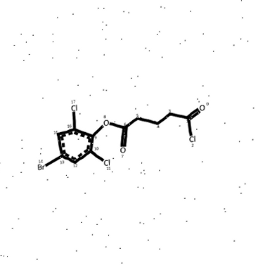 O=C(Cl)CCCC(=O)Oc1c(Cl)cc(Br)cc1Cl